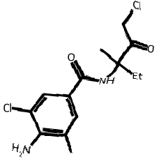 CCC(C)(NC(=O)c1cc(C)c(N)c(Cl)c1)C(=O)CCl